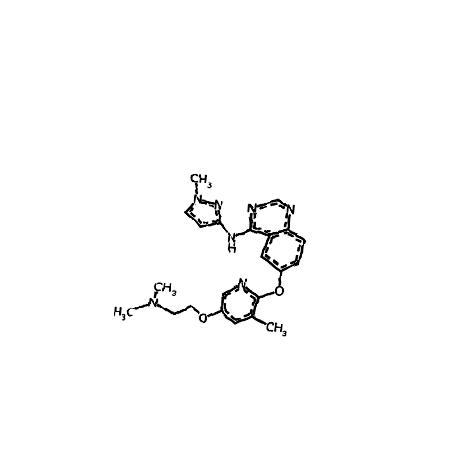 Cc1cc(OCCN(C)C)cnc1Oc1ccc2ncnc(Nc3ccn(C)n3)c2c1